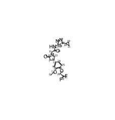 CCOc1cc([C@@H]2CC(=O)N(CC(=O)Nc3nnc(C4CC4)s3)C2)ccc1OCC(F)F